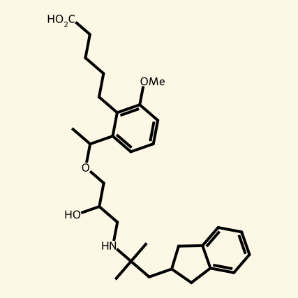 COc1cccc(C(C)OCC(O)CNC(C)(C)CC2Cc3ccccc3C2)c1CCCCC(=O)O